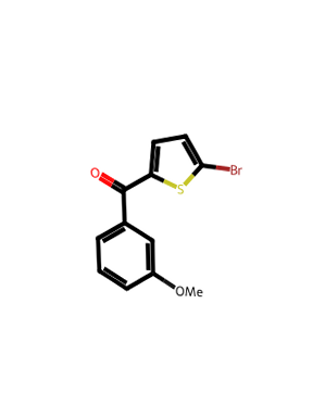 COc1cccc(C(=O)c2ccc(Br)s2)c1